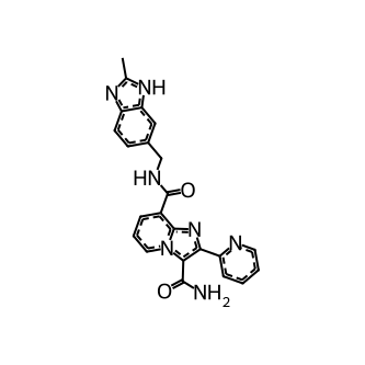 Cc1nc2ccc(CNC(=O)c3cccn4c(C(N)=O)c(-c5ccccn5)nc34)cc2[nH]1